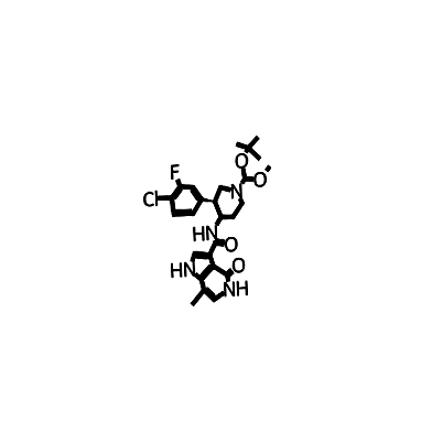 COC(OC(C)(C)C)N1CCC(NC(=O)c2c[nH]c3c(C)c[nH]c(=O)c23)[C@@H](c2ccc(Cl)c(F)c2)C1